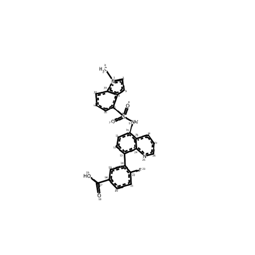 Cn1ccc2c(S(=O)(=O)Nc3ccc(-c4cc(C(=O)O)ccc4F)c4ncccc34)cccc21